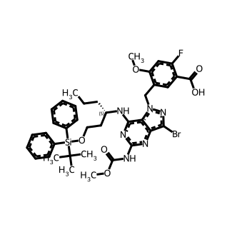 CCC[C@@H](CCO[Si](c1ccccc1)(c1ccccc1)C(C)(C)C)Nc1nc(NC(=O)OC)nc2c(Br)nn(Cc3cc(C(=O)O)c(F)cc3OC)c12